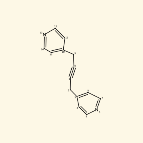 C(#CCc1ccncc1)Cc1ccncc1